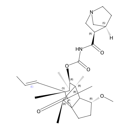 C/C=C/[C@]1(C)C[C@@H](OC(=O)NC(=O)[C@H]2CN3CC[C@@H]2C3)[C@@]2(C)C3[C@H](OC)CCC3(CC[C@H]2C)[C@@H](C)C1=O